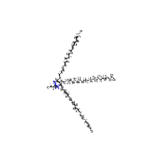 [CH2]CCc1nc(CCCCCCCCCCCCCCCCCCCCCCCC)c(CCCCCCCCCCCCCCCCCCCCCCCC)c(CCCCCCCCCCCCCCCCCCCCCCCC)n1